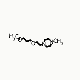 COCCCOCCN1CCN(C)CC1